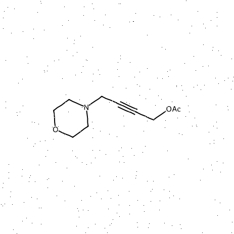 CC(=O)OCC#CCN1CCOCC1